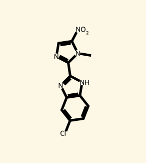 Cn1c([N+](=O)[O-])cnc1-c1nc2cc(Cl)ccc2[nH]1